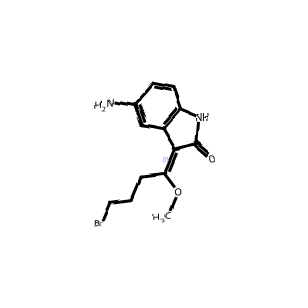 CO/C(CCCBr)=C1\C(=O)Nc2ccc(N)cc21